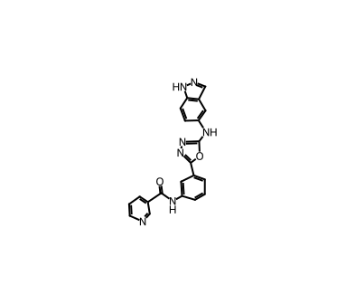 O=C(Nc1cccc(-c2nnc(Nc3ccc4[nH]ncc4c3)o2)c1)c1cccnc1